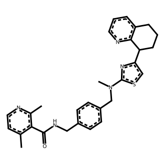 Cc1ccnc(C)c1C(=O)NCc1ccc(CN(C)c2nc(C3CCCc4cccnc43)cs2)cc1